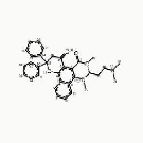 COC(=O)c1c2c(c3ccccc3c1N(C)CCCN(C)C)OC(c1ccccc1)(c1ccccc1)CC2=O